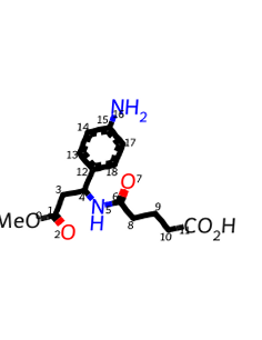 COC(=O)CC(NC(=O)CCCC(=O)O)c1ccc(N)cc1